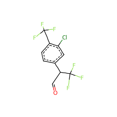 O=CC(c1ccc(C(F)(F)F)c(Cl)c1)C(F)(F)F